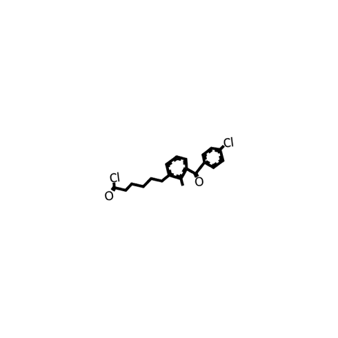 Cc1c(CCCCCC(=O)Cl)cccc1C(=O)c1ccc(Cl)cc1